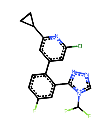 Fc1ccc(-c2cc(Cl)nc(C3CC3)c2)c(-c2nncn2C(F)F)c1